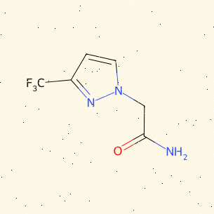 NC(=O)Cn1ccc(C(F)(F)F)n1